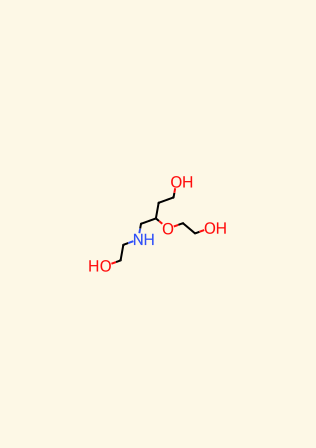 OCCNCC(CCO)OCCO